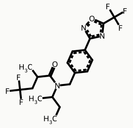 CCC(C)N(Cc1ccc(-c2noc(C(F)(F)F)n2)cc1)C(=O)C(C)CC(F)(F)F